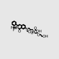 O=C(O)[N+]([O-])(CCOCCO)CC1CN(c2ccc3cc(-c4ccccc4C(F)(F)F)[nH]c(=O)c3c2)CO1